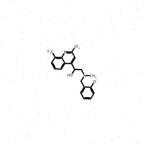 CN(Cc1ccccc1Cl)CC(O)c1cc(C(F)(F)F)nc2c(C(F)(F)F)cccc12